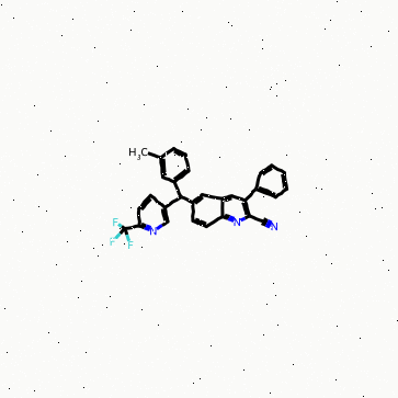 Cc1cccc(C(c2ccc(C(F)(F)F)nc2)c2ccc3nc(C#N)c(-c4ccccc4)cc3c2)c1